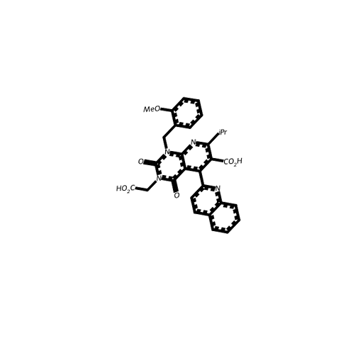 COc1ccccc1Cn1c(=O)n(CC(=O)O)c(=O)c2c(-c3ccc4ccccc4n3)c(C(=O)O)c(C(C)C)nc21